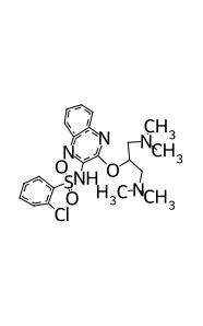 CN(C)CC(CN(C)C)Oc1nc2ccccc2nc1NS(=O)(=O)c1ccccc1Cl